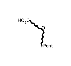 CCCCCC=CCC=CCC1OC1CC=CCCCC(=O)O